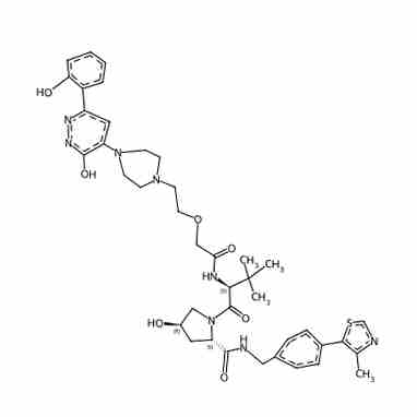 Cc1ncsc1-c1ccc(CNC(=O)[C@@H]2C[C@@H](O)CN2C(=O)[C@@H](NC(=O)COCCN2CCN(c3cc(-c4ccccc4O)nnc3O)CC2)C(C)(C)C)cc1